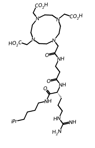 CC(C)CCCCNC(=O)[C@@H](CCCNC(=N)N)NC(=O)CCNC(=O)CN1CCN(CC(=O)O)CCN(CC(=O)O)CCN(CC(=O)O)CC1